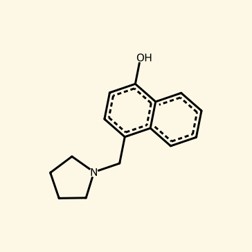 Oc1ccc(CN2CCCC2)c2ccccc12